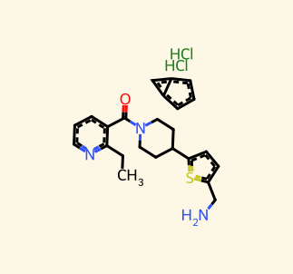 CCc1ncccc1C(=O)N1CCC(c2ccc(CN)s2)CC1.Cl.Cl.c1cc2cc-2c1